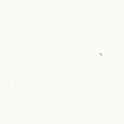 CC1=C(c2cccc(O)c2)C(c2ccc(OCCN3CC[C@@H](CCC(F)(F)F)C3)cc2)Oc2ccc(O)cc21